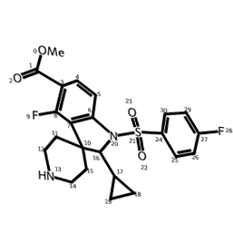 COC(=O)c1ccc2c(c1F)C1(CCNCC1)C(C1CC1)N2S(=O)(=O)c1ccc(F)cc1